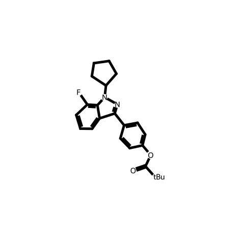 CC(C)(C)C(=O)Oc1ccc(-c2nn(C3CCCC3)c3c(F)cccc23)cc1